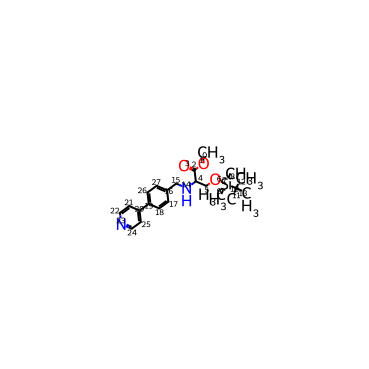 COC(=O)C(CO[Si](C)(C)C(C)(C)C)NCc1ccc(-c2ccncc2)cc1